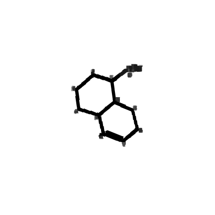 CCCCC1CCCC2[C]=CCCC21